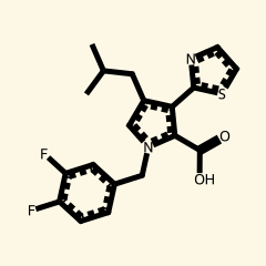 CC(C)Cc1cn(Cc2ccc(F)c(F)c2)c(C(=O)O)c1-c1nccs1